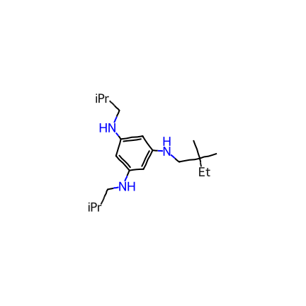 CCC(C)(C)CNc1cc(NCC(C)C)cc(NCC(C)C)c1